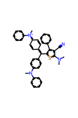 CN(C)c1sc(C(=C2C=CC(=[N+](C)c3ccccc3)C=C2)c2ccc(N(C)c3ccccc3)cc2)c(-c2ccccc2)c1C#N